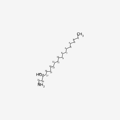 CCCCCCCCCCCCCCCCCCC(O)CCN